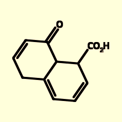 O=C(O)C1C=CC=C2CC=CC(=O)C21